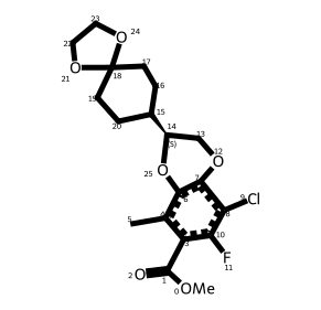 COC(=O)c1c(C)c2c(c(Cl)c1F)OC[C@H](C1CCC3(CC1)OCCO3)O2